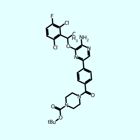 CC(Oc1nc(-c2ccc(C(=O)N3CCN(C(=O)OC(C)(C)C)CC3)cc2)cnc1N)c1c(Cl)ccc(F)c1Cl